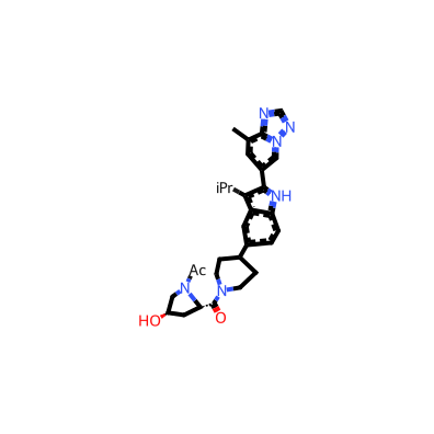 CC(=O)N1C[C@H](O)C[C@H]1C(=O)N1CCC(c2ccc3[nH]c(-c4cc(C)c5ncnn5c4)c(C(C)C)c3c2)CC1